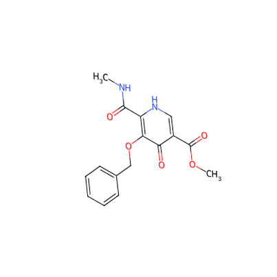 CNC(=O)c1[nH]cc(C(=O)OC)c(=O)c1OCc1ccccc1